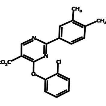 CCOC(=O)c1cnc(-c2ccc(C)c(C)c2)nc1Oc1ccccc1Cl